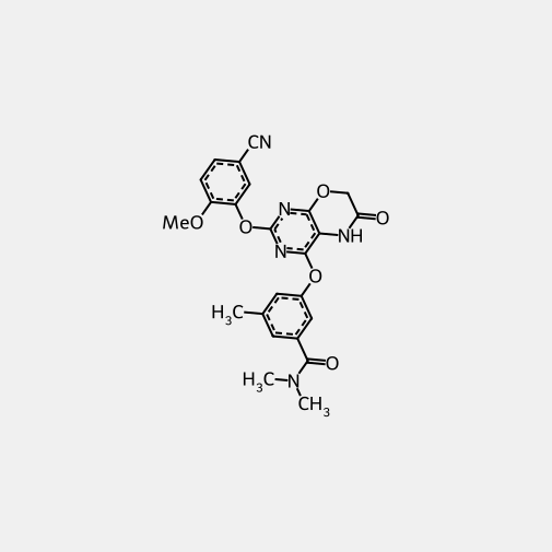 COc1ccc(C#N)cc1Oc1nc2c(c(Oc3cc(C)cc(C(=O)N(C)C)c3)n1)NC(=O)CO2